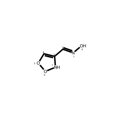 ON=CC1=COON1